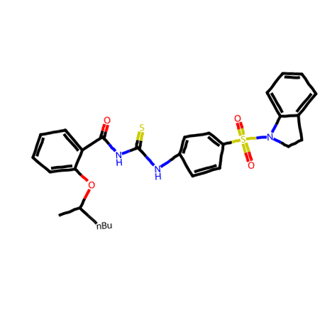 CCCCC(C)Oc1ccccc1C(=O)NC(=S)Nc1ccc(S(=O)(=O)N2CCc3ccccc32)cc1